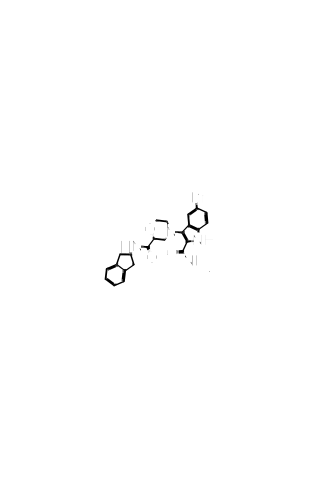 NC(=O)c1[nH]c2ccc(Br)cc2c1N1CCOC(C(=O)NC2Cc3ccccc3C2)C1